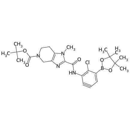 Cn1c(C(=O)Nc2c#ccc(B3OC(C)(C)C(C)(C)O3)c2Cl)nc2c1CCN(C(=O)OC(C)(C)C)C2